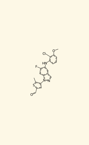 COc1cccc(Nc2cc3cnn(-c4cc(C=O)sc4C)c3cc2F)c1Cl